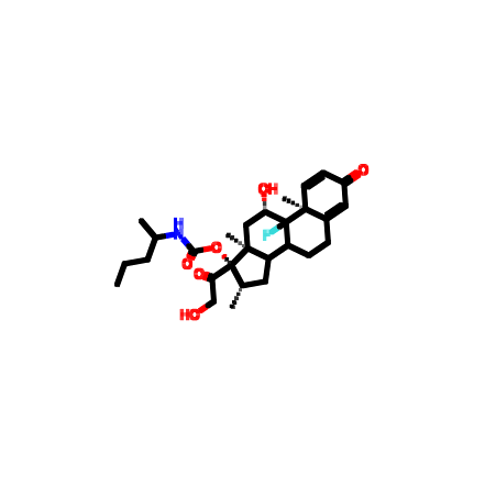 CCCC(C)NC(=O)O[C@@]1(C(=O)CO)[C@@H](C)CC2C3CCC4=CC(=O)C=C[C@]4(C)C3(F)[C@@H](O)C[C@@]21C